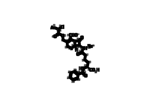 CC(=O)N(Cl)C(=O)OCC1=C(C(=O)[O-])N2C(=O)[C@@H](NC(=O)CCC[C@@H](NC(=O)c3ccccc3)C(=O)O)[C@H]2SC1.[Na+]